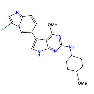 COc1nc(NC2CCC(OC)CC2)nc2[nH]cc(-c3ccc4ncc(F)n4c3)c12